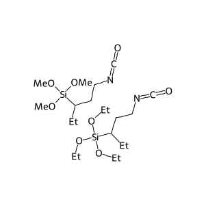 CCC(CCN=C=O)[Si](OC)(OC)OC.CCO[Si](OCC)(OCC)C(CC)CCN=C=O